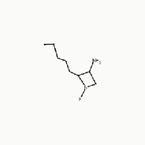 CCCCCC1C(N)CN1F